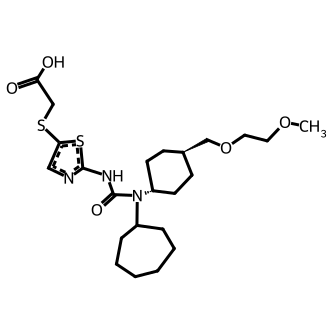 COCCOC[C@H]1CC[C@H](N(C(=O)Nc2ncc(SCC(=O)O)s2)C2CCCCCC2)CC1